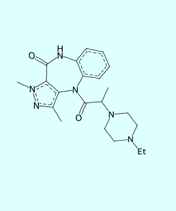 CCN1CCN(C(C)C(=O)N2c3ccccc3NC(=O)c3c2c(C)nn3C)CC1